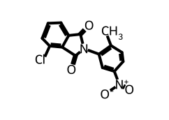 Cc1ccc([N+](=O)[O-])cc1N1C(=O)c2cccc(Cl)c2C1=O